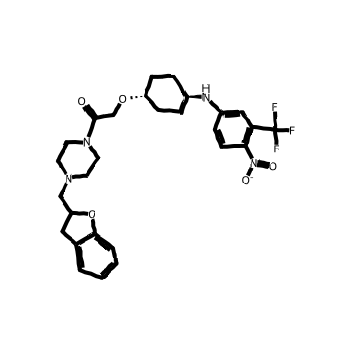 O=C(CO[C@H]1CC[C@H](Nc2ccc([N+](=O)[O-])c(C(F)(F)F)c2)CC1)N1CCN(CC2Cc3ccccc3O2)CC1